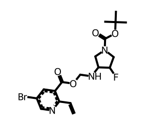 C=Cc1ncc(Br)cc1C(=O)OCNC1CN(C(=O)OC(C)(C)C)CC1F